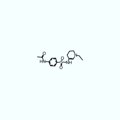 CCN1C=C(NS(=O)(=O)c2ccc(NC(C)=O)cc2)CCC1